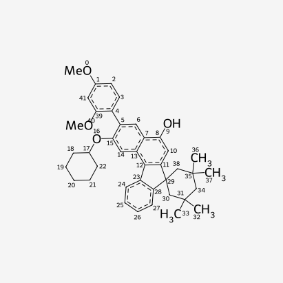 COc1ccc(-c2cc3c(O)cc4c(c3cc2OC2CCCCC2)-c2ccccc2C42CC(C)(C)CC(C)(C)C2)c(OC)c1